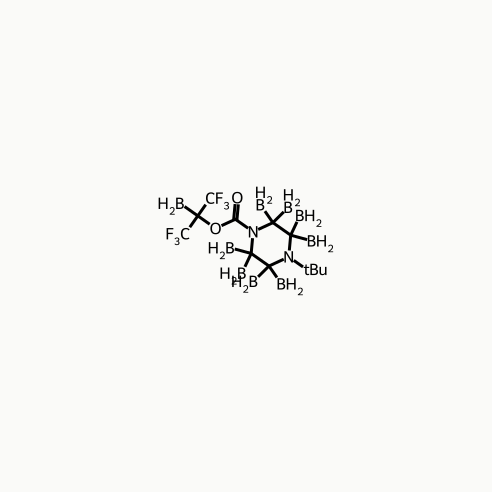 BC1(B)N(C(=O)OC(B)(C(F)(F)F)C(F)(F)F)C(B)(B)C(B)(B)N(C(C)(C)C)C1(B)B